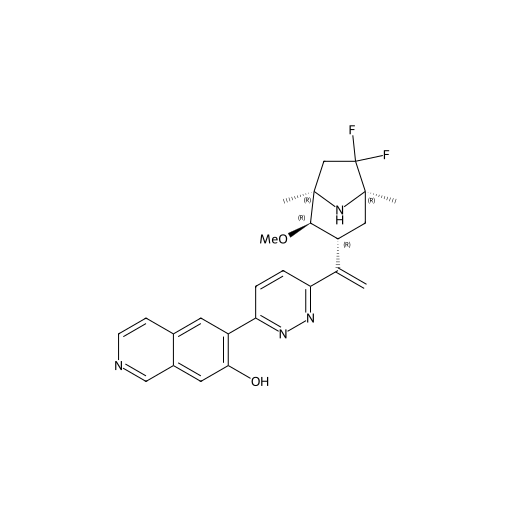 C=C(c1ccc(-c2cc3ccncc3cc2O)nn1)[C@H]1C[C@@]2(C)N[C@](C)(CC2(F)F)[C@@H]1OC